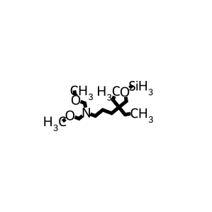 CCC(CC)(CCCN(COC)COC)CO[SiH3]